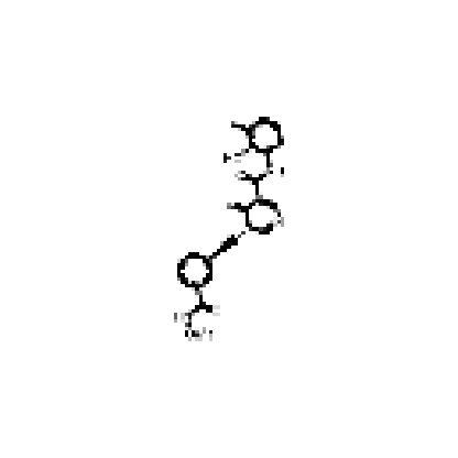 CONC(=O)c1cccc(C#C[C@H]2C=NC=C(C(=O)Nc3cccc(C)c3O)C2=S)c1